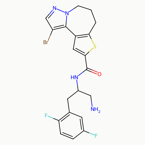 NCC(Cc1cc(F)ccc1F)NC(=O)c1cc2c(s1)CCCn1ncc(Br)c1-2